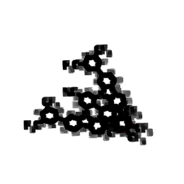 N#Cc1cc(-c2c(-n3c4cc(-c5cc(C(F)(F)F)cc(C(F)(F)F)c5)ccc4c4ccc(-c5cc(C(F)(F)F)cc(C(F)(F)F)c5)cc43)cc(C#N)cc2-n2c3cc(-c4cc(C(F)(F)F)cc(C(F)(F)F)c4)ccc3c3ccc(-c4cc(C(F)(F)F)cc(C(F)(F)F)c4)cc32)cc(C(F)(F)F)c1